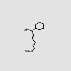 CCCCCCCCCCCCCCN(CCC)C1CCCCC1